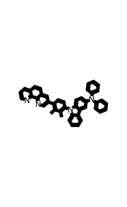 Cc1c(-c2cnc3c(ccc4cccnc43)c2)ccc(-n2c3ccccc3c3cc(N(c4ccccc4)c4ccccc4)ccc32)c1C